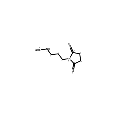 O=CNCCCN1C(=O)CCC1=O